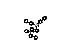 c1ccc(-c2ccc(-c3nc(-c4ccc(-c5ccccc5)cc4)nc(-c4cccc5oc6c(ccc7c8ccccc8n(-c8cccc(-c9ccccc9)c8)c76)c45)n3)cc2)cc1